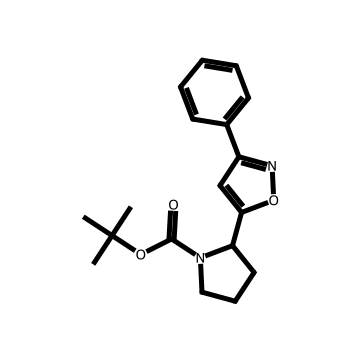 CC(C)(C)OC(=O)N1CCCC1c1cc(-c2ccccc2)no1